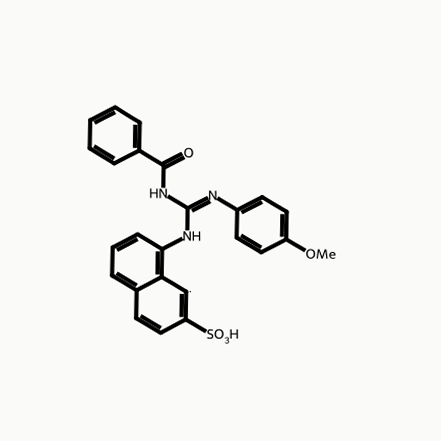 COc1ccc(/N=C(/NC(=O)c2ccccc2)Nc2cccc3ccc(S(=O)(=O)O)[c]c23)cc1